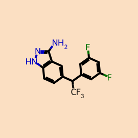 Nc1n[nH]c2ccc(C(c3cc(F)cc(F)c3)C(F)(F)F)cc12